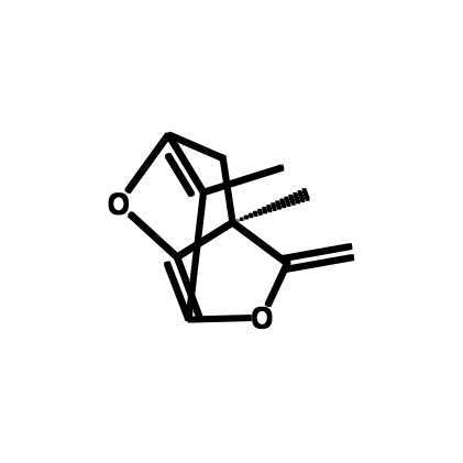 C=C1Oc2c3oc(c2C)C[C@@]13C